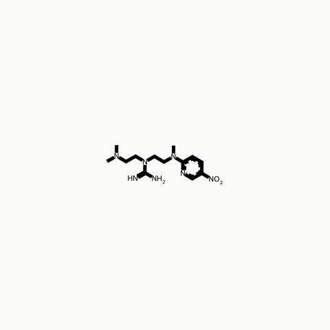 CN(C)CCN(CCN(C)c1ccc([N+](=O)[O-])cn1)C(=N)N